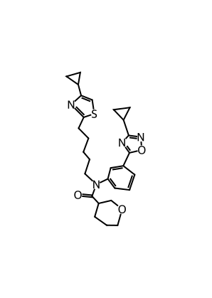 O=C(C1CCCOC1)N(CCCCCc1nc(C2CC2)cs1)c1cccc(-c2nc(C3CC3)no2)c1